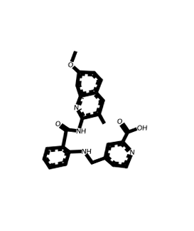 COc1ccc2cc(C)c(NC(=O)c3ccccc3NCc3ccnc(C(=O)O)c3)nc2c1